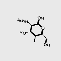 CC(=O)N[C@@H]1C(O)O[C@H](CO)[C@@H](C)[C@@H]1O